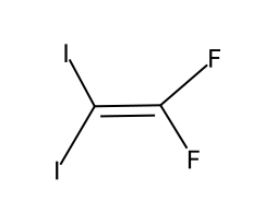 FC(F)=C(I)I